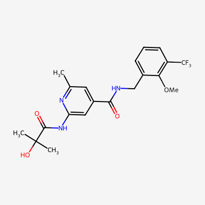 COc1c(CNC(=O)c2cc(C)nc(NC(=O)C(C)(C)O)c2)cccc1C(F)(F)F